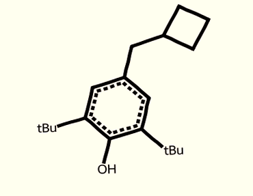 CC(C)(C)c1cc(CC2CCC2)cc(C(C)(C)C)c1O